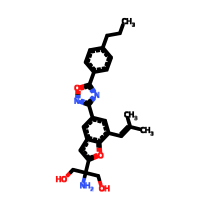 CCCc1ccc(-c2nc(-c3cc(C=C(C)C)c4oc(C(N)(CO)CO)cc4c3)no2)cc1